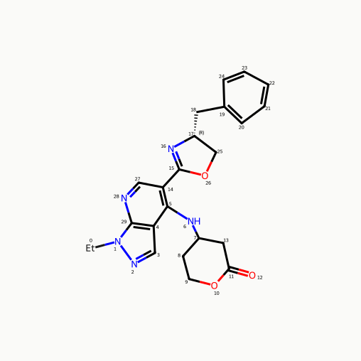 CCn1ncc2c(NC3CCOC(=O)C3)c(C3=N[C@H](Cc4ccccc4)CO3)cnc21